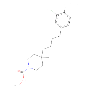 CCOC(=O)c1ccc(CCCCC2(C)CCN(C(=O)OC(C)(C)C)CC2)cc1Cl